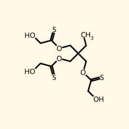 CCC(COC(=S)CO)(COC(=S)CO)COC(=S)CO